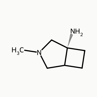 CN1CC2CC[C@]2(N)C1